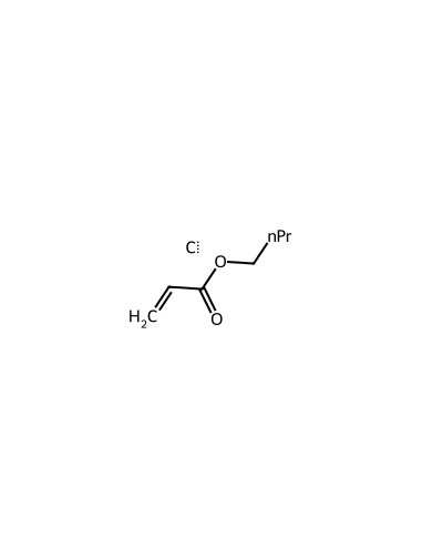 C=CC(=O)OCCCC.[C]